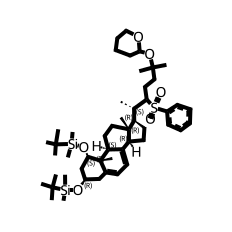 C[C@H](C(CCC(C)(C)OC1CCCCO1)S(=O)(=O)c1ccccc1)[C@H]1CC[C@H]2C3=CC=C4C[C@@H](O[Si](C)(C)C(C)(C)C)C[C@H](O[Si](C)(C)C(C)(C)C)[C@]4(C)[C@H]3CC[C@]12C